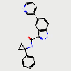 O=C(NC1(c2ccccc2)CC1)c1n[nH]c2ccc(-c3cccnc3)cc12